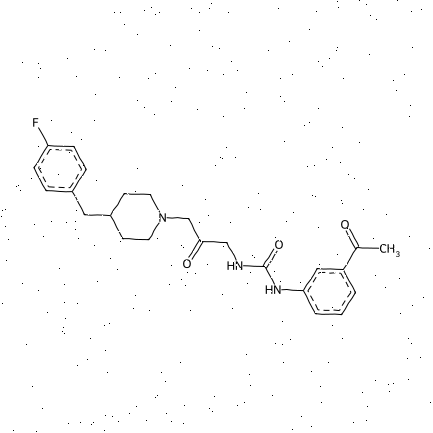 CC(=O)c1cccc(NC(=O)NCC(=O)CN2CCC(Cc3ccc(F)cc3)CC2)c1